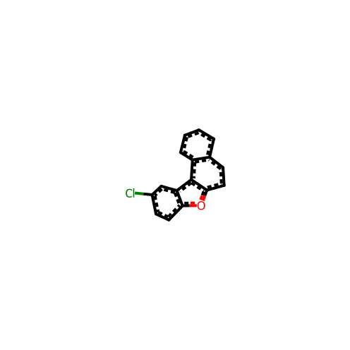 Clc1ccc2oc3ccc4ccccc4c3c2c1